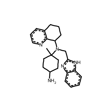 CC1(N(Cc2nc3ccccc3[nH]2)C2CCCc3cccnc32)CCC(N)CC1